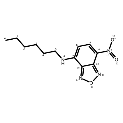 CCCCCCNc1ccc([N+](=O)[O-])c2nonc12